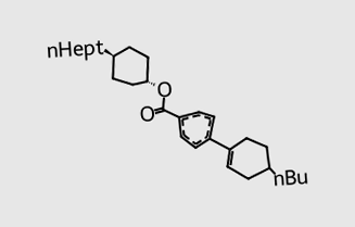 CCCCCCC[C@H]1CC[C@H](OC(=O)c2ccc(C3=CCC(CCCC)CC3)cc2)CC1